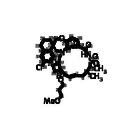 COCCCO[C@H]1/C=C/C[C@H](C)[C@@H](C)S(=O)(=O)NC(=O)c2ccc3c(c2)N(C[C@@H]2CC[C@H]21)C[C@@]1(CCCc2cc(Cl)ccc21)CO3